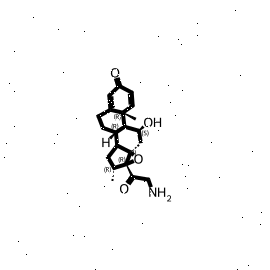 C[C@@H]1CC2[C@@H]3CCC4=CC(=O)C=C[C@]4(C)C3[C@@H](O)C[C@@]23O[C@]13C(=O)CN